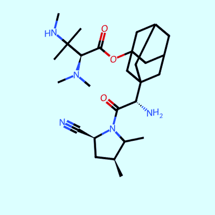 CNC(C)(C)[C@@H](C(=O)OC12CC3CC(C1)CC([C@H](N)C(=O)N1C(C)[C@@H](C)C[C@H]1C#N)(C3)C2)N(C)C